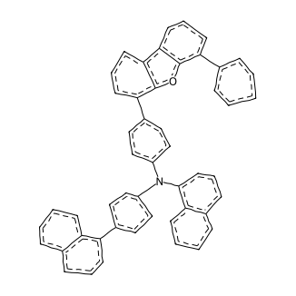 c1ccc(-c2cccc3c2oc2c(-c4ccc(N(c5ccc(-c6cccc7ccccc67)cc5)c5cccc6ccccc56)cc4)cccc23)cc1